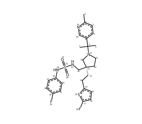 Cc1ccc(C(C)(C)N2CC[C@@](CCc3ccc(F)s3)(CNS(=O)(=O)Nc3ccc(F)cc3)C2)cn1